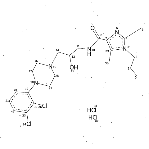 CCCn1c(C)nc(C(=O)NCC(O)CN2CCN(c3cccc(Cl)c3Cl)CC2)c1C.Cl.Cl